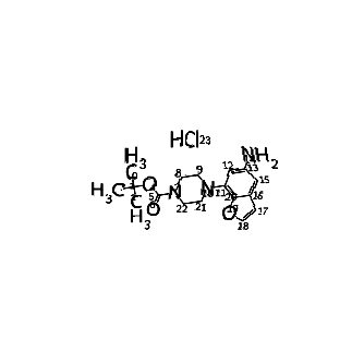 CC(C)(C)OC(=O)N1CCN(c2cc(N)cc3ccoc23)CC1.Cl